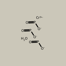 O.O=P[O-].O=P[O-].O=P[O-].[Cr+3]